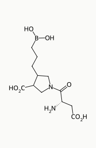 N[C@@H](CC(=O)O)C(=O)N1CC(CCCB(O)O)C(C(=O)O)C1